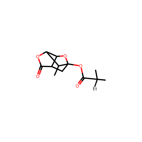 CCC(C)(C)C(=O)OC12CC3C(=O)OC(C3O1)C2C